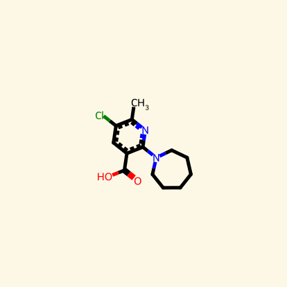 Cc1nc(N2CCCCCC2)c(C(=O)O)cc1Cl